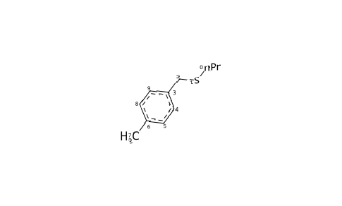 [CH2]CCSCc1ccc(C)cc1